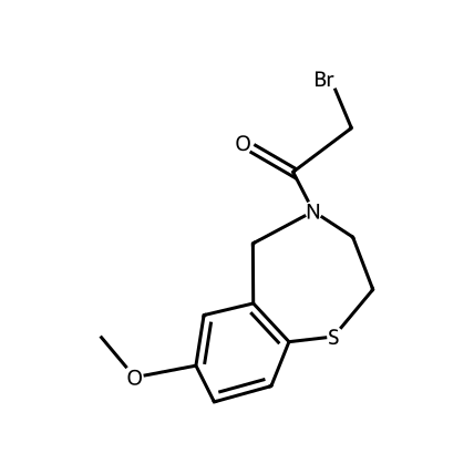 COc1ccc2c(c1)CN(C(=O)CBr)CCS2